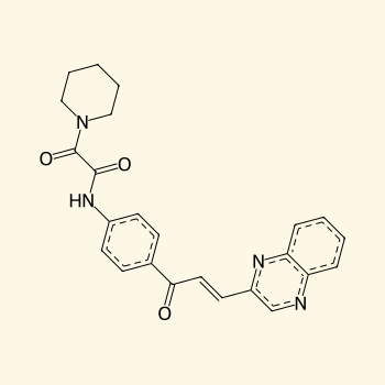 O=C(Nc1ccc(C(=O)C=Cc2cnc3ccccc3n2)cc1)C(=O)N1CCCCC1